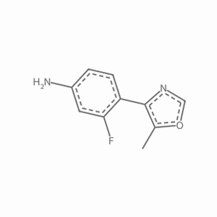 Cc1ocnc1-c1ccc(N)cc1F